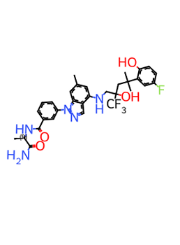 Cc1cc(NCC(O)(CC(C)(C)c2cc(F)ccc2O)C(F)(F)F)c2cnn(-c3cccc(C(=O)N[C@H](C)C(N)=O)c3)c2c1